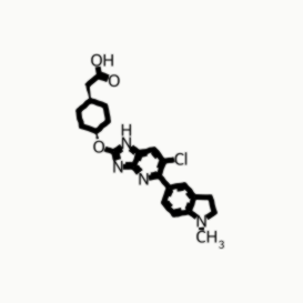 CN1CCc2cc(-c3nc4nc(O[C@H]5CC[C@H](CC(=O)O)CC5)[nH]c4cc3Cl)ccc21